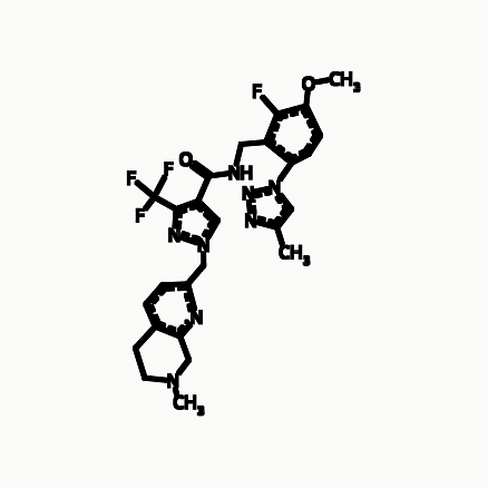 COc1ccc(-n2cc(C)nn2)c(CNC(=O)c2cn(Cc3ccc4c(n3)CN(C)CC4)nc2C(F)(F)F)c1F